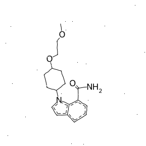 COCCOC1CCC(n2ccc3cccc(C(N)=O)c32)CC1